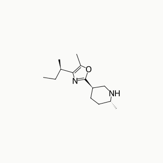 CC[C@@H](C)c1nc([C@@H]2CC[C@@H](C)NC2)oc1C